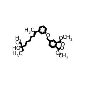 CCC(O)(CC)CCCCC=C(C)c1cccc(OCc2ccc(C(=O)OC)c(C(=O)OC)c2)c1